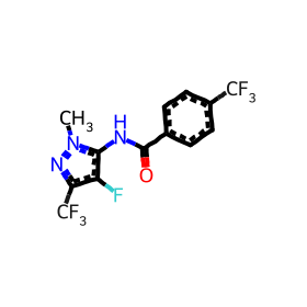 Cn1nc(C(F)(F)F)c(F)c1NC(=O)c1ccc(C(F)(F)F)cc1